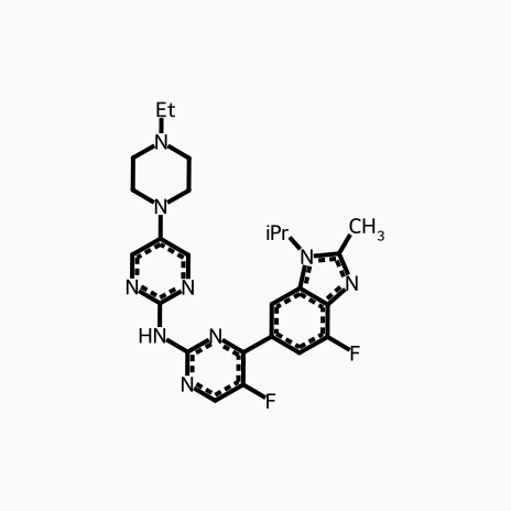 CCN1CCN(c2cnc(Nc3ncc(F)c(-c4cc(F)c5nc(C)n(C(C)C)c5c4)n3)nc2)CC1